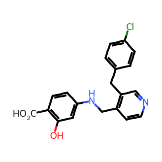 O=C(O)c1ccc(NCc2ccncc2Cc2ccc(Cl)cc2)cc1O